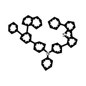 c1ccc(-c2ccc(-c3ccc(N(c4ccccc4)c4ccc(-c5cccc6c5sc5c(-c7ccccc7)cccc56)cc4)cc3)cc2-c2cccc3ccccc23)cc1